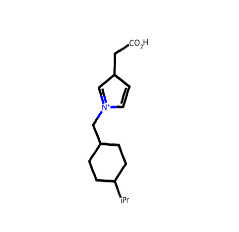 CC(C)C1CCC(C[N+]2=CC(CC(=O)O)C=C2)CC1